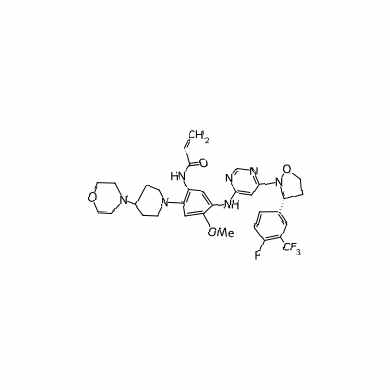 C=CC(=O)Nc1cc(Nc2cc(N3OCC[C@@H]3c3ccc(F)c(C(F)(F)F)c3)ncn2)c(OC)cc1N1CCC(N2CCOCC2)CC1